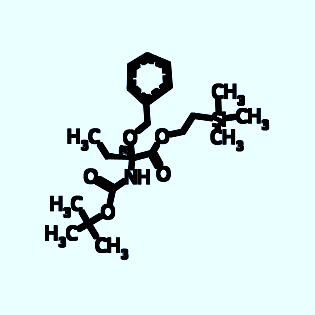 CC[C@@](NC(=O)OC(C)(C)C)(OCc1ccccc1)C(=O)OCC[Si](C)(C)C